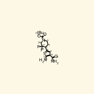 CC(C)(C)OC(=O)N1CCC(c2cc(C(N)=O)c(N)s2)C(F)(F)C1